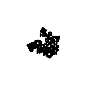 CC1([C@H](NC(=O)NC2(CS(=O)(=O)C(C)(C)C)CCCCC2)C(=O)N2C[C@H]3[C@@H]([C@H]2C(=O)NC(CC2CC2)C(=O)C(=O)NC2CCC2)C3(C)C)CCCCC1